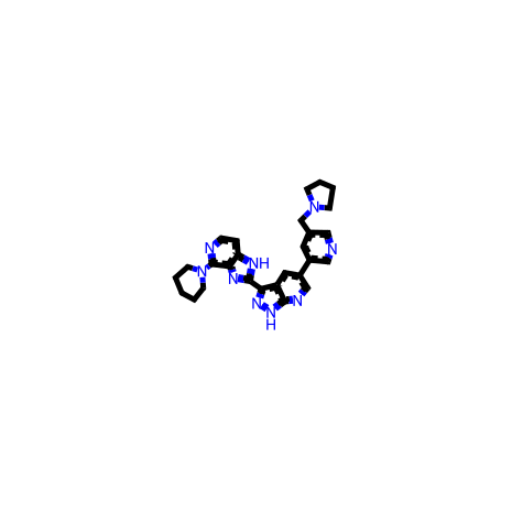 c1cc2[nH]c(-c3n[nH]c4ncc(-c5cncc(CN6CCCC6)c5)cc34)nc2c(N2CCCCC2)n1